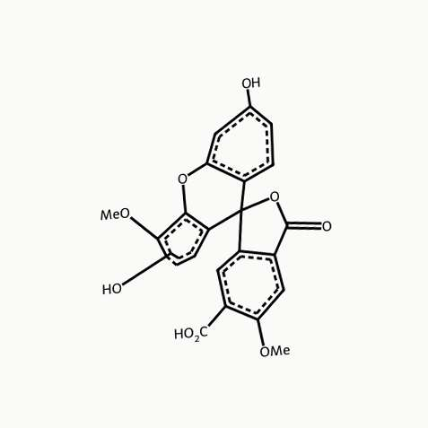 COc1cc2c(cc1C(=O)O)C1(OC2=O)c2ccc(O)cc2Oc2c1ccc(O)c2OC